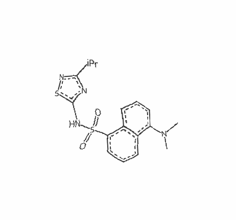 CC(C)c1nsc(NS(=O)(=O)c2cccc3c(N(C)C)cccc23)n1